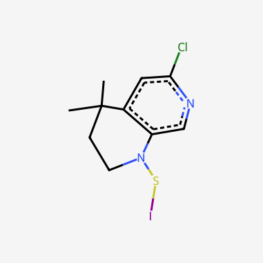 CC1(C)CCN(SI)c2cnc(Cl)cc21